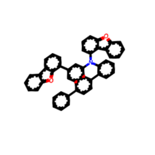 c1ccc(-c2ccc(-c3ccccc3N(c3cccc(-c4cccc5c4oc4ccccc45)c3)c3cccc4oc5ccccc5c34)cc2)cc1